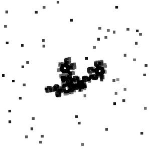 Cc1ccc(F)c(OCCOc2ncc(C3=C(C(=O)N(Cc4cccc(Cl)c4Cl)C4CC4)[C@H]4CN(C(=O)OC(C)(C)C)CC(C3)N4C(=O)O)s2)c1Cl